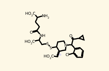 NC(CCC(=O)NC(CSSC1CCN(C(C(=O)C2CC2)c2ccccc2Cl)C/C1=C/C(=O)O)C(=O)O)C(=O)O